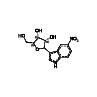 O=[N+]([O-])c1ccc2[nH]cc(C3O[C@@H](CO)[C@H](O)[C@@H]3O)c2c1